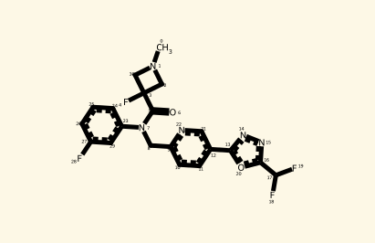 CN1CC(F)(C(=O)N(Cc2ccc(-c3nnc(C(F)F)o3)cn2)c2cccc(F)c2)C1